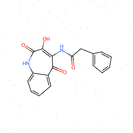 O=C(Cc1ccccc1)Nc1c(O)c(=O)[nH]c2ccccc2c1=O